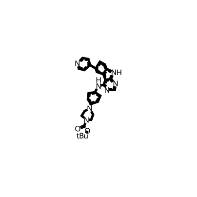 CC(C)(C)OC(=O)N1CCN(c2ccc(Nc3ncnc4[nH]c5ccc(-c6ccncc6)cc5c34)cc2)CC1